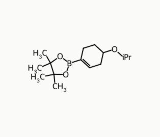 CC(C)OC1CC=C(B2OC(C)(C)C(C)(C)O2)CC1